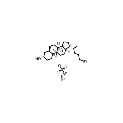 CC(C)CCCC(C)[C@H]1CC[C@H]2[C@@H]3CC=C4C[C@@H](O)CC[C@]4(C)[C@H]3CC[C@]12C.O=S(=O)([O-])[O-].[K+].[K+]